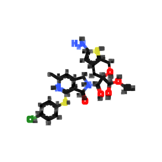 Cc1cc2c(c(Sc3ccc(Cl)cc3)n1)C(=O)N(C(=O)C1(C(=O)OC(C)(C)C)Cc3cc(N)sc3CO1)C2